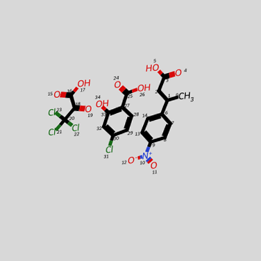 CC(CC(=O)O)c1ccc([N+](=O)[O-])cc1.O=C(O)C(=O)C(Cl)(Cl)Cl.O=C(O)c1ccc(Cl)cc1O